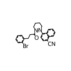 N#Cc1ccc(N2CCCCN2C(=O)CCc2ccccc2Br)c2ccccc12